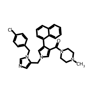 CN1CCN(C(=O)c2cn(Cc3cncn3Cc3ccc(Cl)cc3)cc2-c2cccc3ccccc23)CC1